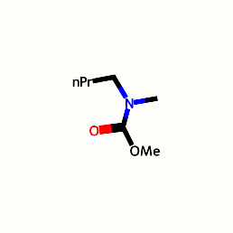 [CH2]CCCN(C)C(=O)OC